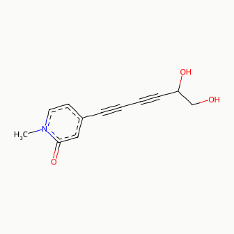 Cn1ccc(C#CC#CC(O)CO)cc1=O